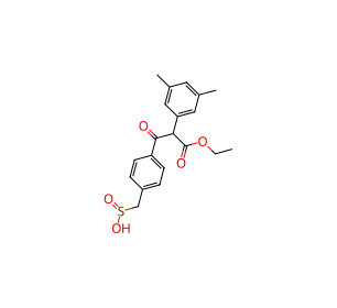 CCOC(=O)C(C(=O)c1ccc(CS(=O)O)cc1)c1cc(C)cc(C)c1